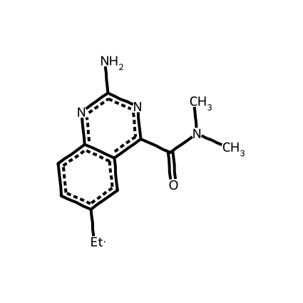 C[CH]c1ccc2nc(N)nc(C(=O)N(C)C)c2c1